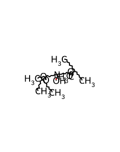 CCCCCCCCC(CCCCCC)C(CC)OC(=O)CCCCCN(CCO)CCCCCC(=O)OC(CC)C(CCCCCC)CCCCCCCC